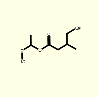 [CH2]C(OCC)OC(=O)CC(C)CC(C)(C)C